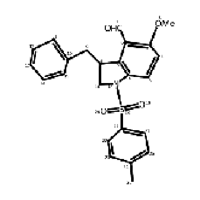 COc1ccc2c(c1C=O)C(Cc1ccccc1)CN2S(=O)(=O)c1ccc(C)cc1